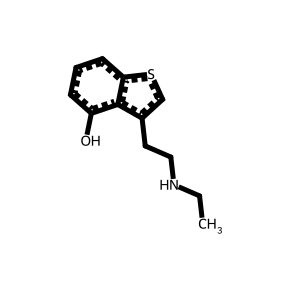 CCNCCc1csc2cccc(O)c12